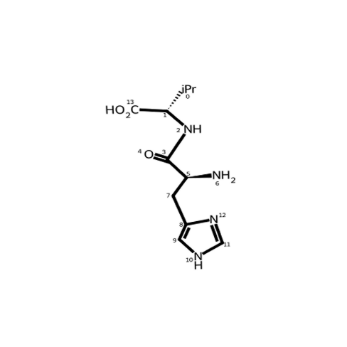 CC(C)[C@H](NC(=O)[C@@H](N)Cc1c[nH]cn1)C(=O)O